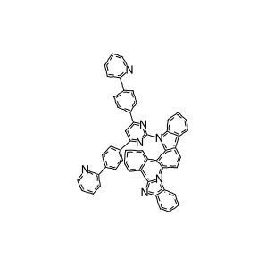 c1ccc(-c2ccc(-c3cc(-c4ccc(-c5ccccn5)cc4)nc(-n4c5ccccc5c5ccc6c(c7ccccc7c7nc8ccccc8n67)c54)n3)cc2)nc1